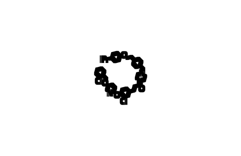 CC(C)c1ccc(OCCc2ccc(CN3CCN(C(=O)C=Cc4ccc(Oc5ccc(OCc6ccccc6Cl)cn5)c(Cl)c4)CC3)cc2)cc1